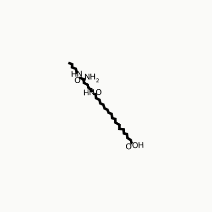 CCCCCNC(=O)[C@@H](N)CCCCNC(=O)CCCCCCCCCCCCCCCCCCC(=O)O